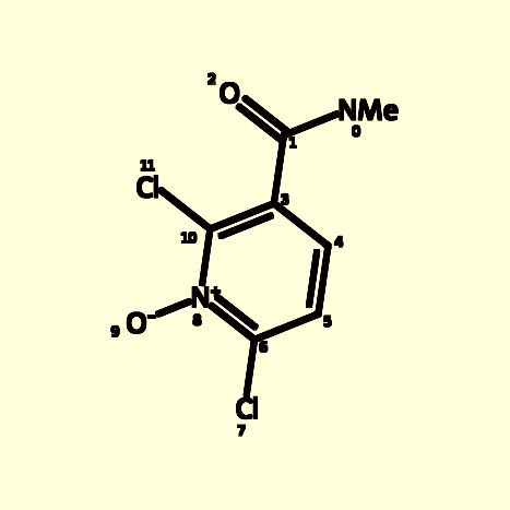 CNC(=O)c1ccc(Cl)[n+]([O-])c1Cl